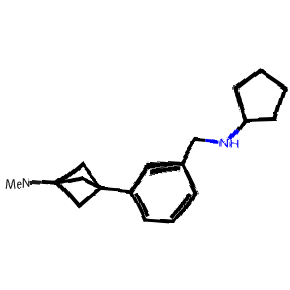 CNC12CC(c3cccc(CNC4CCCC4)c3)(C1)C2